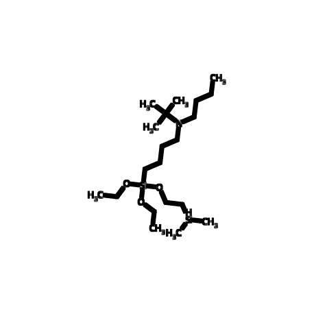 CCCCN(CCCC[Si](OCC)(OCC)OCC[SiH](C)C)C(C)(C)C